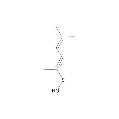 CC(C)=C/C=C(\C)SO